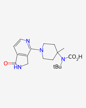 CC(C)(C)N(C(=O)O)C1(C)CCN(c2nccc3c2CNC3=O)CC1